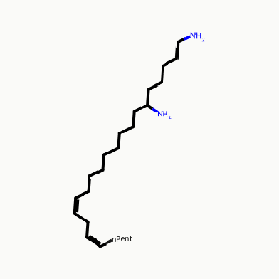 CCCCC/C=C\C/C=C\CCCCCCCCC(N)CCCCCN